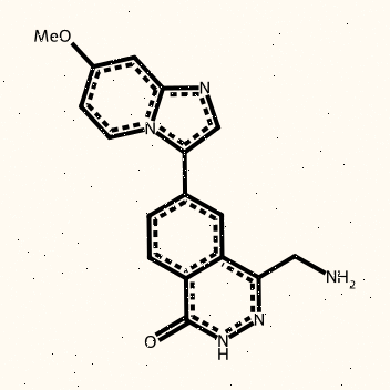 COc1ccn2c(-c3ccc4c(=O)[nH]nc(CN)c4c3)cnc2c1